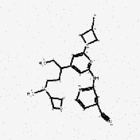 CCC(CCN(C)C1COC1)c1cc(Nc2cc(C#N)ccn2)nc(N2CC(F)C2)c1